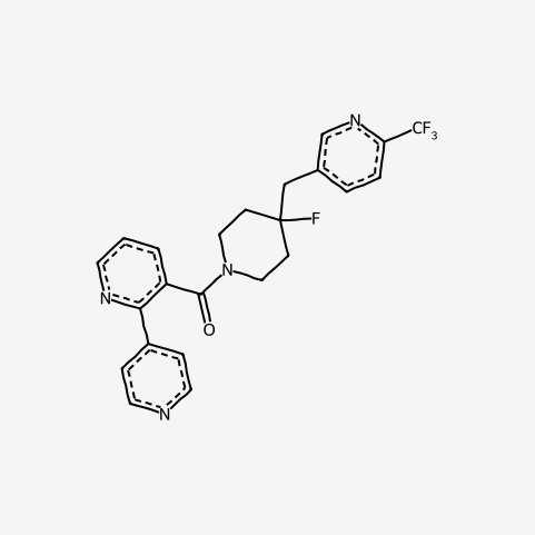 O=C(c1cccnc1-c1ccncc1)N1CCC(F)(Cc2ccc(C(F)(F)F)nc2)CC1